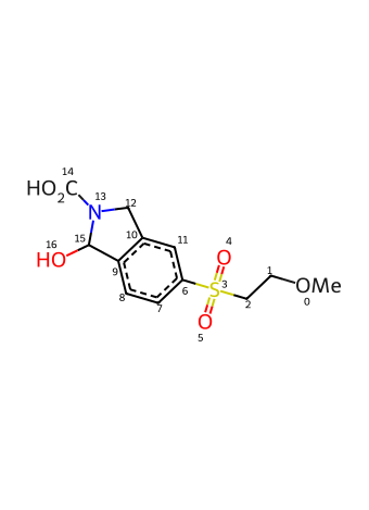 COCCS(=O)(=O)c1ccc2c(c1)CN(C(=O)O)C2O